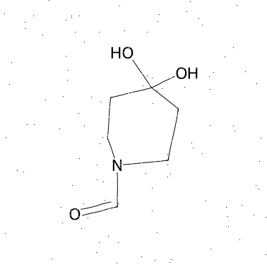 O=CN1CCC(O)(O)CC1